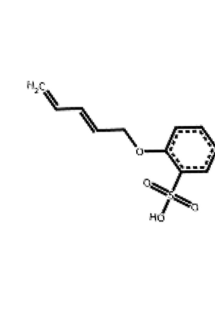 C=CC=CCOc1ccccc1S(=O)(=O)O